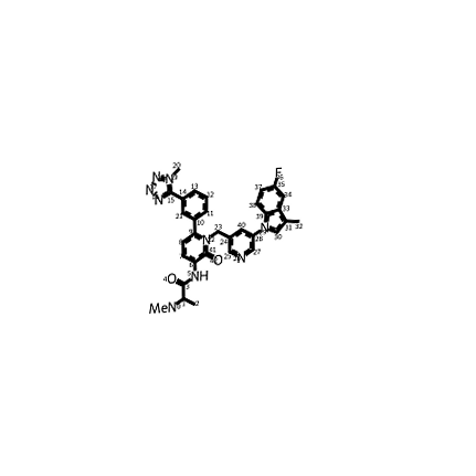 CNC(C)C(=O)Nc1ccc(-c2cccc(-c3nnnn3C)c2)n(Cc2cncc(-n3cc(C)c4cc(F)ccc43)c2)c1=O